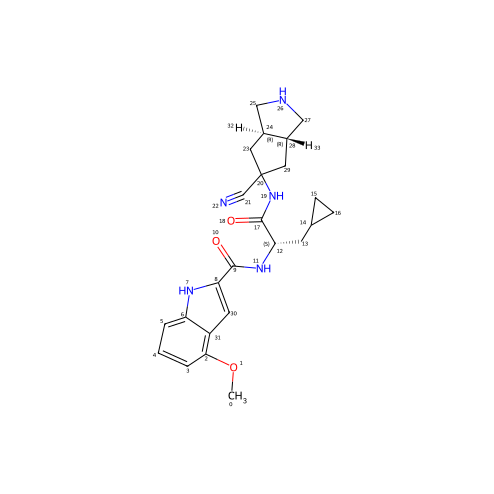 COc1cccc2[nH]c(C(=O)N[C@@H](CC3CC3)C(=O)NC3(C#N)C[C@H]4CNC[C@@H]4C3)cc12